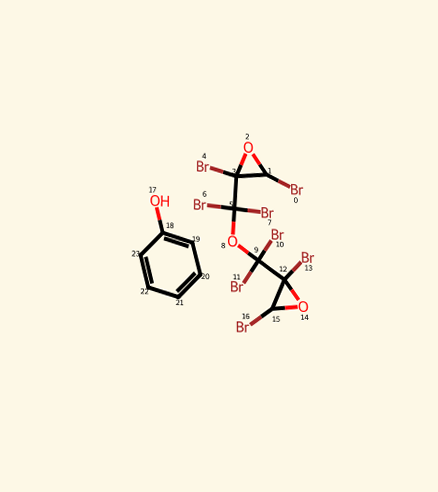 BrC1OC1(Br)C(Br)(Br)OC(Br)(Br)C1(Br)OC1Br.Oc1ccccc1